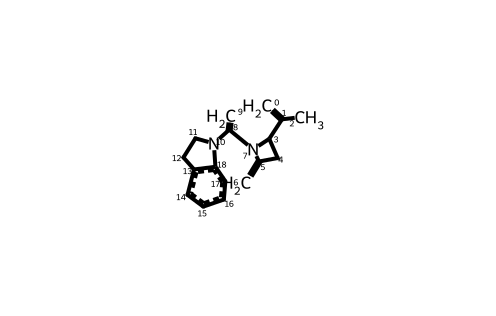 C=C(C)C1CC(=C)N1C(=C)N1CCc2ccccc21